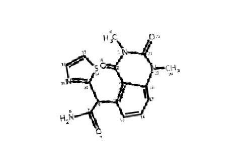 Cn1c(=O)c2c(C(C(N)=O)c3nccs3)cccc2n(C)c1=O